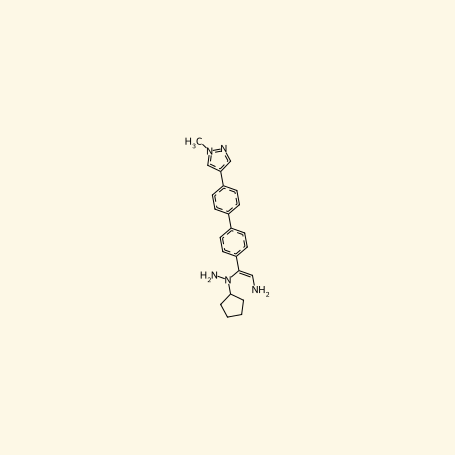 Cn1cc(-c2ccc(-c3ccc(/C(=C/N)N(N)C4CCCC4)cc3)cc2)cn1